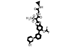 CCC1=CC=CN(c2cccc(-c3cc4sc(C(C(=O)NCC(=O)NC5CC5)S(C)(=O)=O)nc4cc3OC(F)F)c2)C1